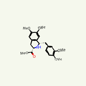 COC(=O)[C@@H]1Cc2cc(OC)c(OC)cc2[C@H](Cc2ccc(OC)c(OC)c2)N1